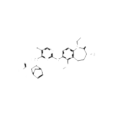 CCN1C(=O)[C@@H](N)CCc2c1ccc(Nc1ncc(Cl)c(N[C@H]3[C@@H](C(=O)O)[C@@H]4C=C[C@H]3C4)n1)c2OC